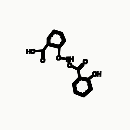 O=C(OBOc1ccccc1C(=O)O)c1ccccc1O